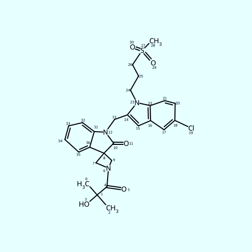 CC(C)(O)C(=O)N1CC2(C1)C(=O)N(Cc1cc3cc(Cl)ccc3n1CCCS(C)(=O)=O)c1ccccc12